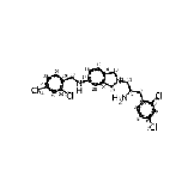 N[C@H](Cc1ccc(Cl)cc1Cl)CN1Cc2ccc(NCc3ccc(Cl)cc3Cl)cc2C1